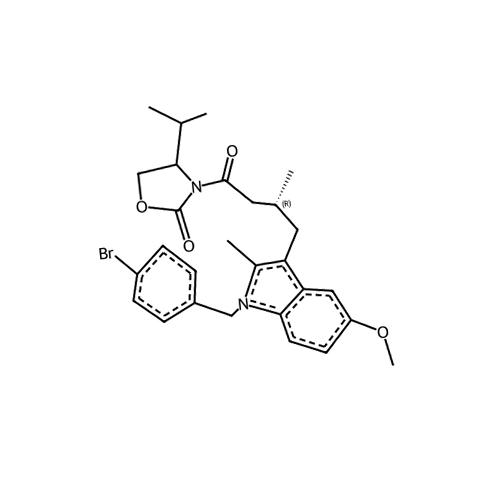 COc1ccc2c(c1)c(C[C@@H](C)CC(=O)N1C(=O)OCC1C(C)C)c(C)n2Cc1ccc(Br)cc1